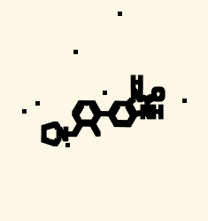 Cc1c(CN2CCCC2)cccc1-c1ccc2[nH]c(=O)[nH]c2c1